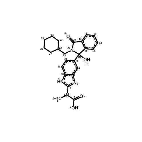 CN(C(=O)O)c1nc2cc(C3(O)c4ccccc4C(=O)N3CC3CCCCC3)ccc2[nH]1